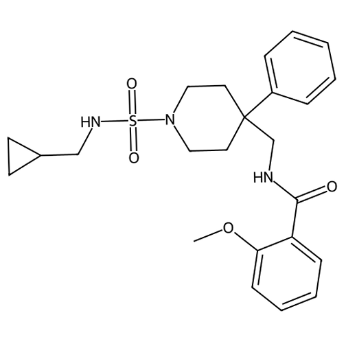 COc1ccccc1C(=O)NCC1(c2ccccc2)CCN(S(=O)(=O)NCC2CC2)CC1